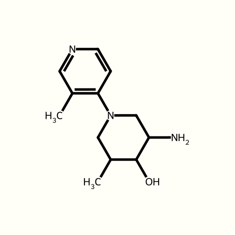 Cc1cnccc1N1CC(C)C(O)C(N)C1